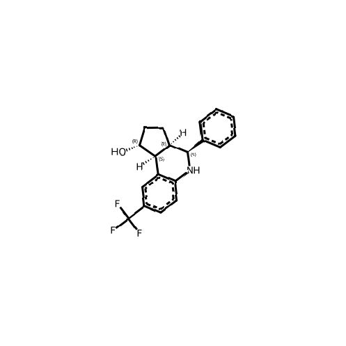 O[C@@H]1CC[C@@H]2[C@H]1c1cc(C(F)(F)F)ccc1N[C@@H]2c1ccccc1